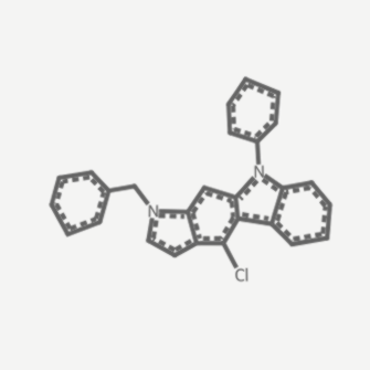 Clc1c2ccn(Cc3ccccc3)c2cc2c1c1ccccc1n2-c1ccccc1